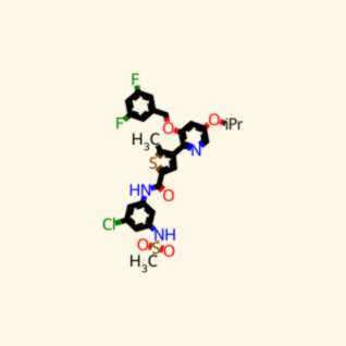 Cc1sc(C(=O)Nc2cc(Cl)cc(NS(C)(=O)=O)c2)cc1-c1ncc(OC(C)C)cc1OCc1cc(F)cc(F)c1